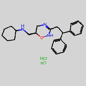 Cl.Cl.c1ccc(C(CC2=NCC(CNC3CCCCC3)ON2)c2ccccc2)cc1